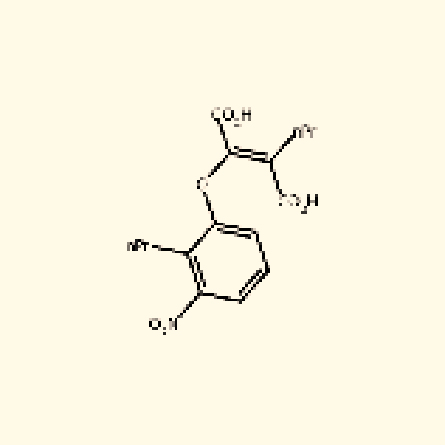 CCCC(C(=O)O)=C(Oc1cccc([N+](=O)[O-])c1CCC)C(=O)O